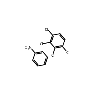 Clc1ccc(Cl)c(Cl)c1Cl.O=[N+]([O-])c1ccccc1